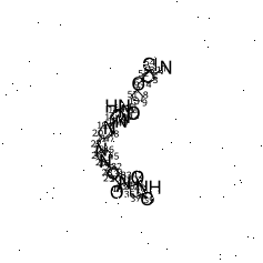 N#Cc1ccc(O[C@H]2CC[C@H](C(=O)Nc3ccc(N4CCC(CN5CCN(c6ccc7c(c6)CN(C6CCC(=O)NC6=O)C7=O)CC5)CC4)nn3)C2)cc1Cl